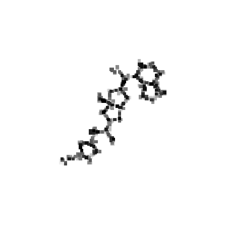 CN(c1ncnc2[nH]ccc12)[C@H]1CC2CN(C(=O)Nc3cnn(C)c3)C[C@@H]2C1